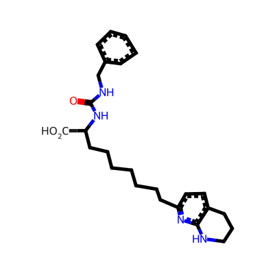 O=C(NCc1ccccc1)NC(CCCCCCCc1ccc2c(n1)NCCC2)C(=O)O